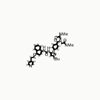 CNC(=O)CN(CC(=O)NC)C(=O)c1ccc(-n2nc(C(C)(C)C)cc2NC(=O)Nc2ccc(OCCc3ccncc3)c3ccccc23)cc1